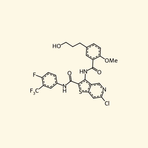 COc1ccc(CCCO)cc1C(=O)Nc1c(C(=O)Nc2ccc(F)c(C(F)(F)F)c2)sc2cc(Cl)ncc12